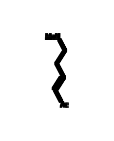 CNCC/C=C/C(C)=O